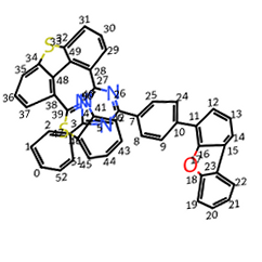 c1ccc(-c2nc(-c3ccc(-c4cccc5c4oc4ccccc45)cc3)nc(-c3cccc4sc5cccc(-c6nc7ccccc7s6)c5c34)n2)cc1